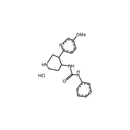 COc1ccc(C2CNCCC2NC(=O)Nc2ccccc2)nc1.Cl